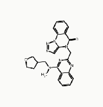 CN(CC1CCOC1)c1nc(Cn2c(=O)c3ccccc3n3nncc23)nc2ccccc12